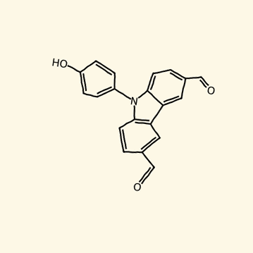 O=Cc1ccc2c(c1)c1cc(C=O)ccc1n2-c1ccc(O)cc1